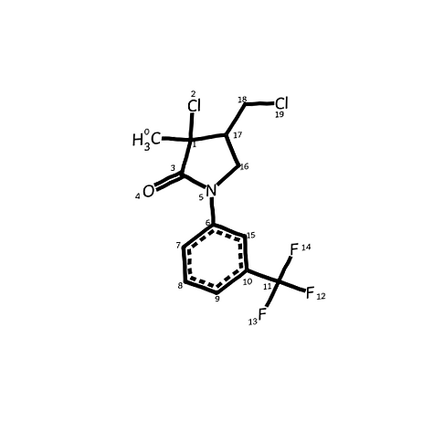 CC1(Cl)C(=O)N(c2cccc(C(F)(F)F)c2)CC1CCl